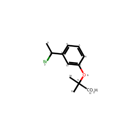 CC(Br)c1cccc(OC(C)(C)C(=O)O)c1